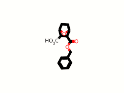 O=C(O)C1C2CCC(O2)C1C(=O)OCc1ccccc1